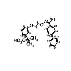 CCC(=NOCCOc1cccc(C(C)(C)C(=O)O)c1)c1ccc(-c2ccccc2)cc1